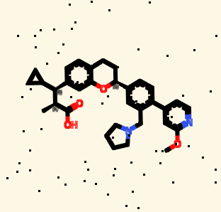 COc1cc(-c2ccc([C@@H]3CCc4ccc([C@H](C5CC5)[C@H](C)C(=O)O)cc4O3)cc2CN2CCCC2)ccn1